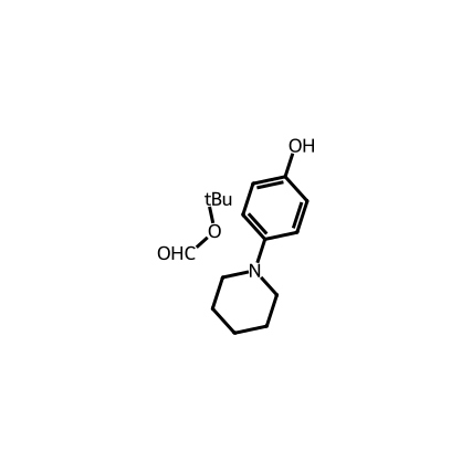 CC(C)(C)OC=O.Oc1ccc(N2CCCCC2)cc1